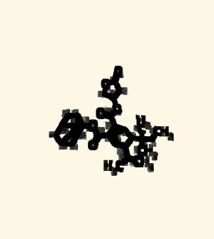 CCC(C)(C)C1C2CC(C(C(=O)OC3C4CC5CC(C4)CC3C5)C2C(=O)OC2COC(=O)C2)C1C(C)C